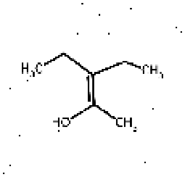 CCC(CC)=C(C)O